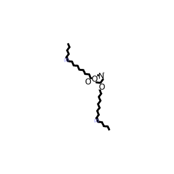 CCCC/C=C\CCCCCCCCOC(COC(=O)CCCCCCC/C=C\CCCC)CN(C)C